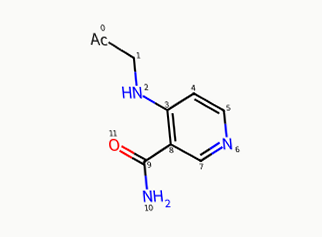 CC(=O)CNc1ccncc1C(N)=O